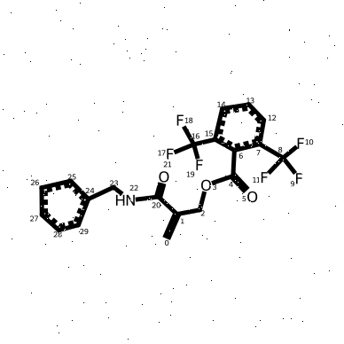 C=C(COC(=O)c1c(C(F)(F)F)cccc1C(F)(F)F)C(=O)NCc1ccccc1